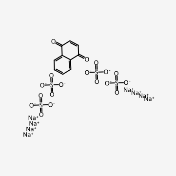 O=C1C=CC(=O)c2ccccc21.O=S(=O)([O-])[O-].O=S(=O)([O-])[O-].O=S(=O)([O-])[O-].O=S(=O)([O-])[O-].[Na+].[Na+].[Na+].[Na+].[Na+].[Na+].[Na+].[Na+]